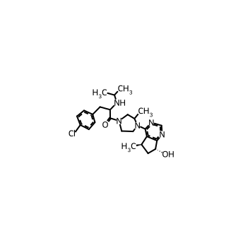 CC(C)NC(Cc1ccc(Cl)cc1)C(=O)N1CCN(c2ncnc3c2[C@H](C)C[C@H]3O)C(C)C1